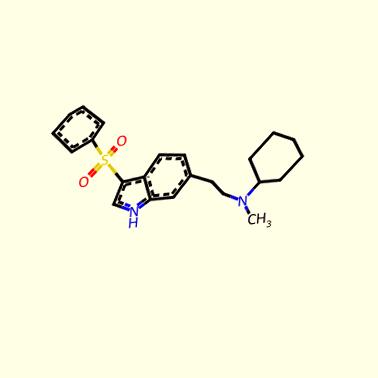 CN(CCc1ccc2c(S(=O)(=O)c3ccccc3)c[nH]c2c1)C1CCCCC1